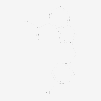 O=C(O)c1cccc2cn(Cc3ccc(Cl)cc3)nc12